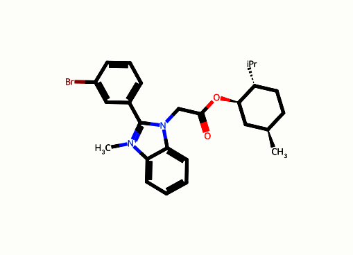 CC(C)[C@@H]1CC[C@@H](C)C[C@H]1OC(=O)Cn1c(-c2cccc(Br)c2)[n+](C)c2ccccc21